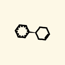 C1=CC[C@@H](c2ccccc2)CC1